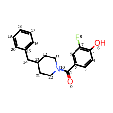 O=C(c1ccc(O)c(F)c1)N1CCC(Cc2ccccc2)CC1